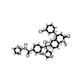 Cn1cncc1C(O)(c1ccc(C(=O)Nc2nccs2)cc1)c1ccc2c(c1)c(-c1cccc(Cl)c1)cc(=O)n2C